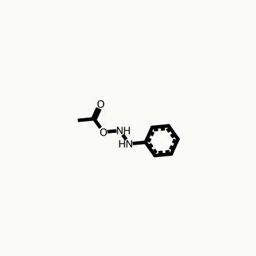 CC(=O)ONNc1ccccc1